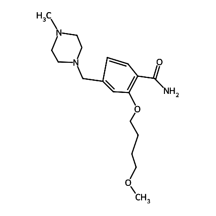 COCCCCOc1cc(CN2CCN(C)CC2)ccc1C(N)=O